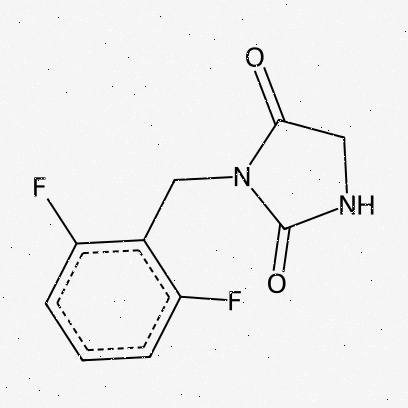 O=C1CNC(=O)N1Cc1c(F)cccc1F